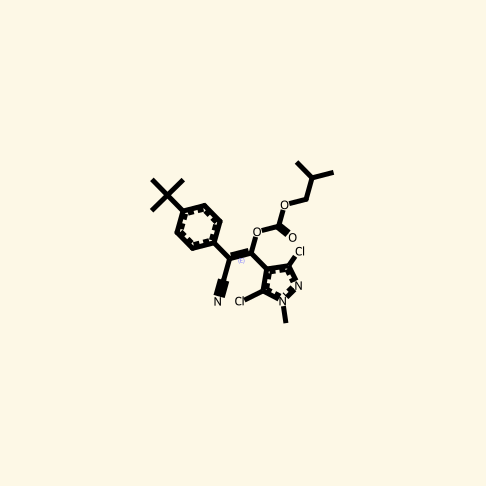 CC(C)COC(=O)O/C(=C(/C#N)c1ccc(C(C)(C)C)cc1)c1c(Cl)nn(C)c1Cl